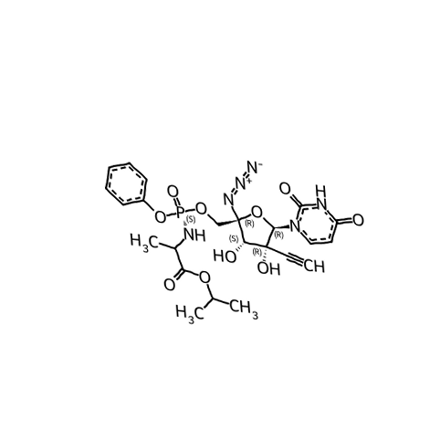 C#C[C@]1(O)[C@H](n2ccc(=O)[nH]c2=O)O[C@@](CO[P@@](=O)(NC(C)C(=O)OC(C)C)Oc2ccccc2)(N=[N+]=[N-])[C@H]1O